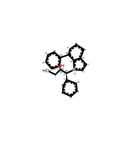 OC[C@@H](O)[C@H](c1ccccc1)n1ccc2cccc(-c3ccccc3)c21